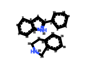 c1ccc(-c2cc3ccccc3[nH]2)cc1.c1ccc2c(c1)CCNC2